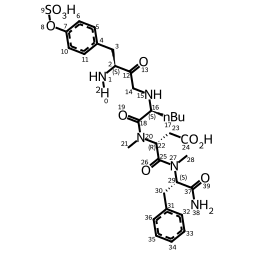 [2H]N[C@@H](Cc1ccc(OS(=O)(=O)O)cc1)C(=O)CN[C@@H](CCCC)C(=O)N(C)[C@H](CC(=O)O)C(=O)N(C)[C@@H](Cc1ccccc1)C(N)=O